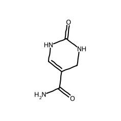 NC(=O)C1=CNC(=O)NC1